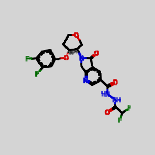 O=C(NNC(=O)C(F)F)c1cnc2c(c1)C(=O)N([C@@H]1COCC[C@H]1Oc1ccc(F)c(F)c1)C2